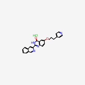 Cl.O=c1[nH]c(-c2cc3ccccc3cn2)nc2ccc(OCCCc3ccncc3)cc12